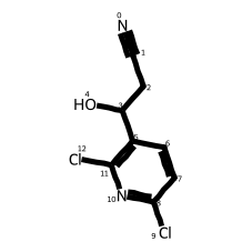 N#CCC(O)c1ccc(Cl)nc1Cl